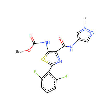 Cn1cc(NC(=O)c2nc(-c3c(F)cccc3F)sc2NC(=O)OC(C)(C)C)cn1